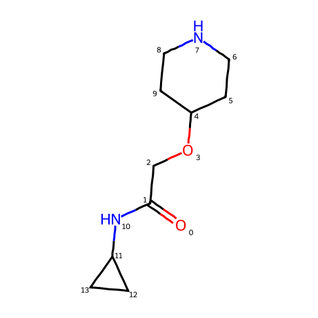 O=C(COC1CCNCC1)NC1CC1